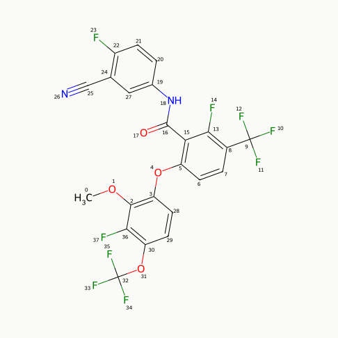 COc1c(Oc2ccc(C(F)(F)F)c(F)c2C(=O)Nc2ccc(F)c(C#N)c2)ccc(OC(F)(F)F)c1F